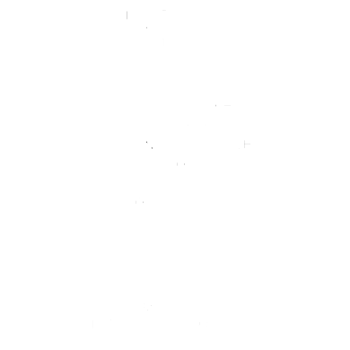 CCOC(Cc1ccc(OCCN(CCCCCC(F)(F)F)C(=O)OC(C)CC)cc1)C(=O)O